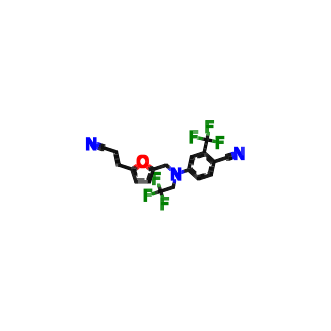 N#CC=Cc1ccc(CN(CC(F)(F)F)c2ccc(C#N)c(C(F)(F)F)c2)o1